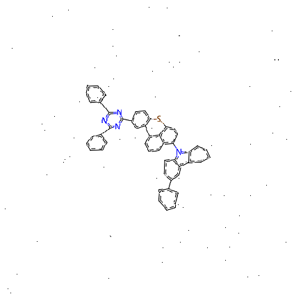 c1ccc(-c2ccc3c(c2)c2ccccc2n3-c2ccc3c4c(cccc24)-c2cc(-c4nc(-c5ccccc5)nc(-c5ccccc5)n4)ccc2S3)cc1